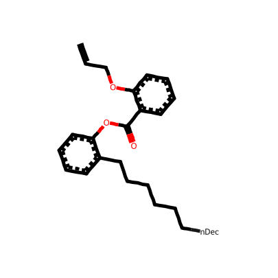 C=CCOc1ccccc1C(=O)Oc1ccccc1CCCCCCCCCCCCCCCC